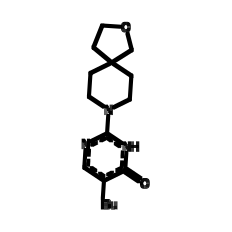 CCC(C)c1cnc(N2CCC3(CCOC3)CC2)[nH]c1=O